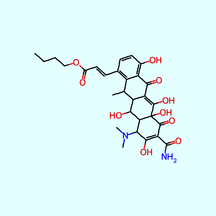 CCCCOC(=O)/C=C/c1ccc(O)c2c1C(C)C1C(=C(O)C3(O)C(=O)C(C(N)=O)=C(O)C(N(C)C)C3C1O)C2=O